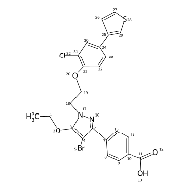 CCOc1c(Br)c(-c2ccc(C(=O)O)cc2)nn1CCOc1ccc(-c2ccsc2)cc1Cl